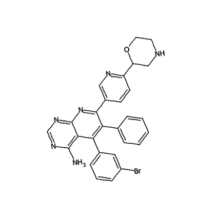 Nc1ncnc2nc(-c3ccc(C4CNCCO4)nc3)c(-c3ccccc3)c(-c3cccc(Br)c3)c12